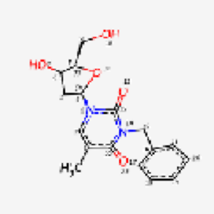 Cc1cn([C@H]2CC(O)[C@@H](CO)O2)c(=O)n(Cc2ccccc2)c1=O